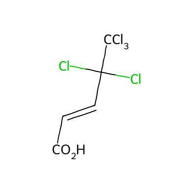 O=C(O)C=CC(Cl)(Cl)C(Cl)(Cl)Cl